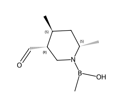 CB(O)N1C[C@H](C=O)[C@@H](C)C[C@@H]1C